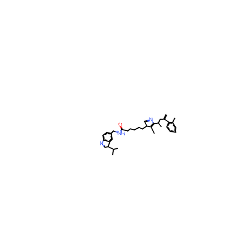 C=C(CC(C)C1=C(C)C(CCCCCC(=O)NCc2ccc3c(c2)C(C(C)C)C=N3)C=N1)c1ccccc1C